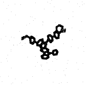 COc1ccc(-c2ccc3c(c2)c2cc4c5ccccc5n(-c5ccccc5)c4cc2n3-c2ccc(-c3ccc4c(c3)CN=CN4)cc2)cc1